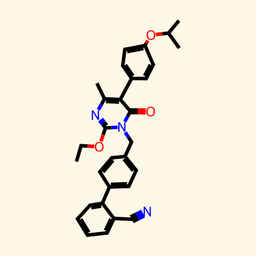 CCOc1nc(C)c(-c2ccc(OC(C)C)cc2)c(=O)n1Cc1ccc(-c2ccccc2C#N)cc1